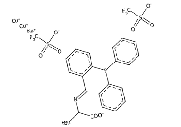 CC(C)(C)C(N=Cc1ccccc1P(c1ccccc1)c1ccccc1)C(=O)[O-].O=S(=O)([O-])C(F)(F)F.O=S(=O)([O-])C(F)(F)F.[Cu+].[Cu+].[Na+]